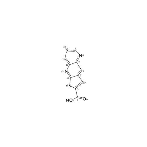 O=C(O)c1nc2cc3ncncc3nc2s1